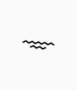 CCCCCC.CCCCCCCCCCC